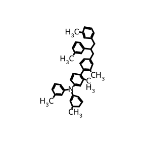 Cc1cccc(CC(Cc2ccc(-c3ccc(N(C4=CC(C)CC=C4)c4cccc(C)c4)cc3C)c(C)c2)c2cccc(C)c2)c1